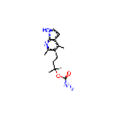 Cc1nc2[nH]ccc2c(C)c1CCC(C)(C)OC(N)=O